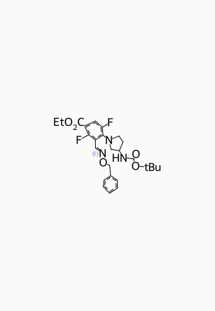 CCOC(=O)c1cc(F)c(N2CCC(NC(=O)OC(C)(C)C)C2)c(/C=N/OCc2ccccc2)c1F